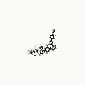 CC(C)(C)OC(=O)NC(C)(C)C1CCN(c2ccc3c(c2)Cn2cc(-c4ccc(C#N)cc4)cc2-c2nccn2-3)C1=O